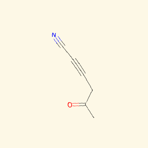 CC(=O)CC#CC#N